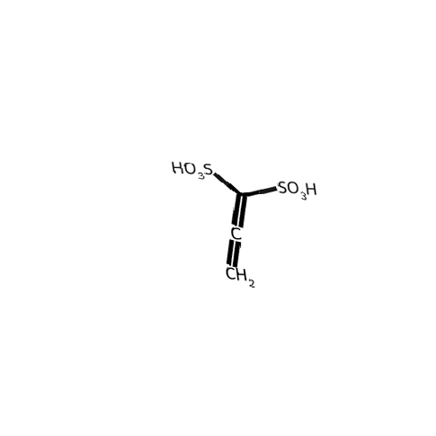 C=C=C(S(=O)(=O)O)S(=O)(=O)O